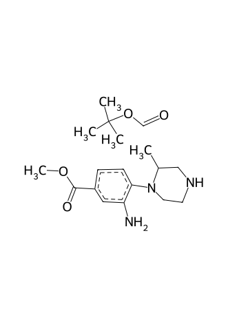 CC(C)(C)OC=O.COC(=O)c1ccc(N2CCNCC2C)c(N)c1